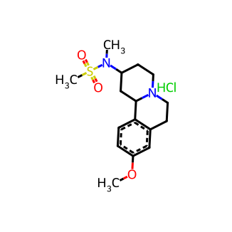 COc1ccc2c(c1)CCN1CCC(N(C)S(C)(=O)=O)CC21.Cl